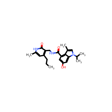 CCCc1cc(C)[nH]c(=O)c1CNC(=O)c1cc(O)cc2c1c(C)cn2C(C)C